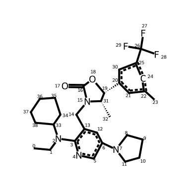 CCN(c1ncc(N2CCCC2)cc1CN1C(=O)O[C@H](c2cc(C)cc(C(F)(F)F)c2)[C@@H]1C)C1CCCCC1